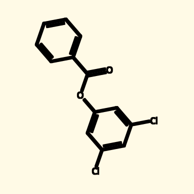 O=C(Oc1cc(Cl)cc(Cl)c1)c1ccccc1